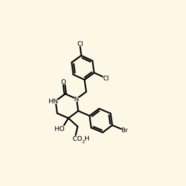 O=C(O)CC1(O)CNC(=O)N(Cc2ccc(Cl)cc2Cl)C1c1ccc(Br)cc1